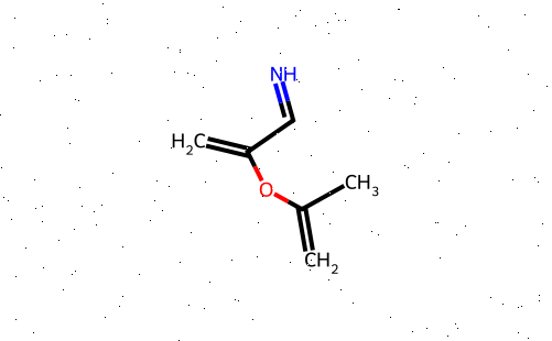 C=C(C)OC(=C)C=N